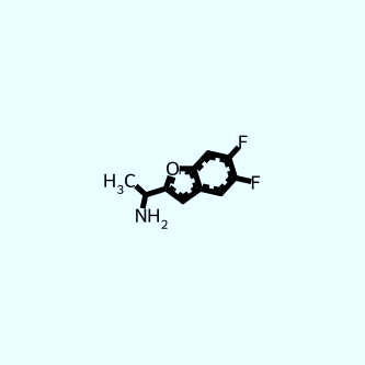 CC(N)c1cc2cc(F)c(F)cc2o1